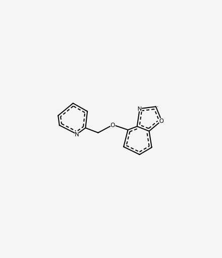 [c]1nc2c(OCc3ccccn3)cccc2o1